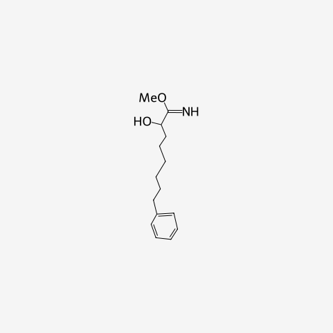 COC(=N)C(O)CCCCCCc1ccccc1